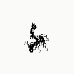 Cc1cc(C)cc(-c2[nH]c3sc(C(C)(C)C(=O)N4C5CCC4CC5)cc3c2[C@H](C)CNC(=O)C2CN(Cc3cccnc3)C2)c1